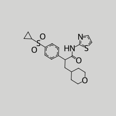 O=C(Nc1nccs1)C(CC1CCOCC1)c1ccc(S(=O)(=O)C2CC2)cc1